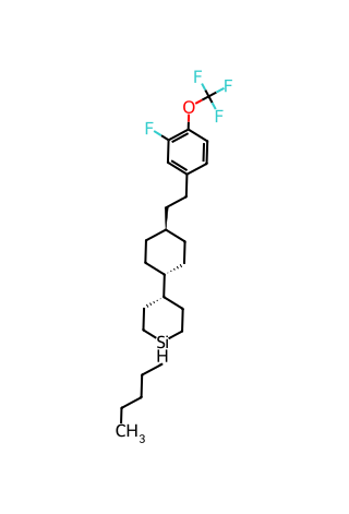 CCCCC[Si@H]1CC[C@H]([C@H]2CC[C@H](CCc3ccc(OC(F)(F)F)c(F)c3)CC2)CC1